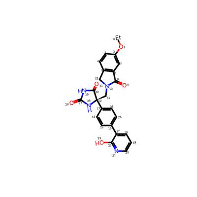 CCOc1ccc2c(c1)C(=O)N(C[C@@]1(c3ccc(-c4cccnc4O)cc3)NC(=O)NC1=O)C2